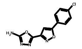 Nc1nnc(-c2cc(-c3ccc(Cl)cc3)on2)o1